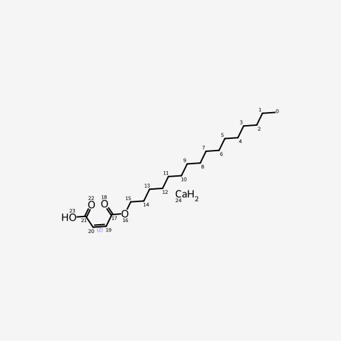 CCCCCCCCCCCCCCCCOC(=O)/C=C\C(=O)O.[CaH2]